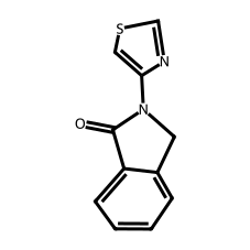 O=C1c2ccccc2CN1c1cscn1